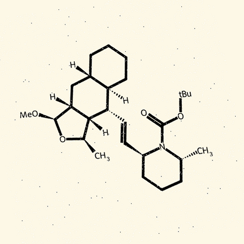 CO[C@@H]1O[C@H](C)[C@H]2[C@@H](C=C[C@@H]3CCC[C@@H](C)N3C(=O)OC(C)(C)C)[C@@H]3CCCC[C@H]3C[C@@H]12